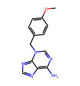 COc1ccc(Cn2cnc(N)c3ncnc2-3)cc1